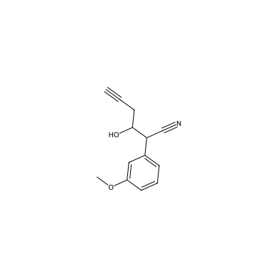 C#CCC(O)C(C#N)c1cccc(OC)c1